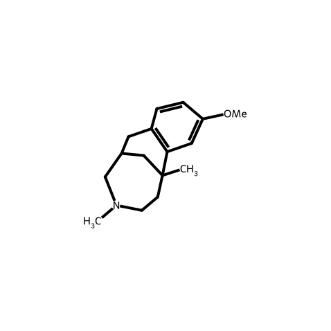 COc1ccc2c(c1)C1(C)CCN(C)CC(C2)C1